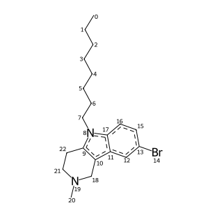 CCCCCCCCn1c2c(c3cc(Br)ccc31)CN(C)CC2